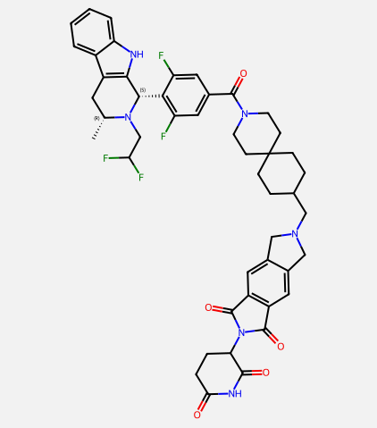 C[C@@H]1Cc2c([nH]c3ccccc23)[C@H](c2c(F)cc(C(=O)N3CCC4(CCC(CN5Cc6cc7c(cc6C5)C(=O)N(C5CCC(=O)NC5=O)C7=O)CC4)CC3)cc2F)N1CC(F)F